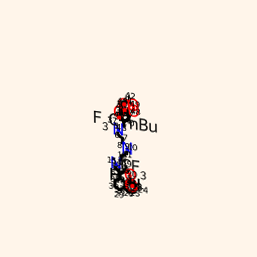 CCCC[C@H]1C(CN(C)CCCN(C)CCCN(C)CC2=C(C(F)(F)F)O[C@@H]3O[C@]4(C)CCC5[C@H](C)CC[C@@H]2[C@]53OO4)=C(C(F)(F)F)O[C@@H]2O[C@]3(C)CCC(C)[C@]21OO3